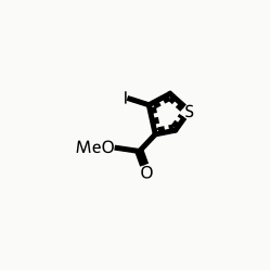 COC(=O)c1cscc1I